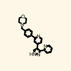 c1ccc(-c2n[nH]cc2-c2ccnc(-c3ccc(CN4CCOCC4)cc3)c2)nc1